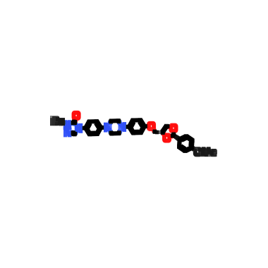 CCC(C)n1ncn(-c2ccc(N3CCN(c4ccc(OC[C@@H]5CO[C@@H](c6ccc(OC)cc6)O5)cc4)CC3)cc2)c1=O